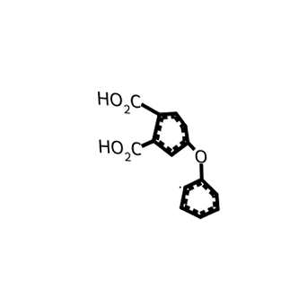 O=C(O)c1ccc(Oc2[c]cccc2)cc1C(=O)O